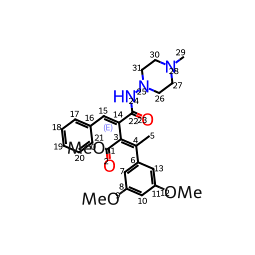 COC(=O)C(=C(C)c1cc(OC)cc(OC)c1)/C(=C\c1ccccc1)C(=O)NN1CCN(C)CC1